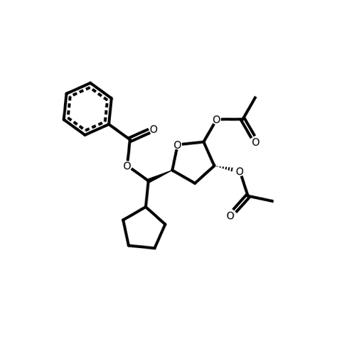 CC(=O)OC1O[C@H](C(OC(=O)c2ccccc2)C2CCCC2)C[C@H]1OC(C)=O